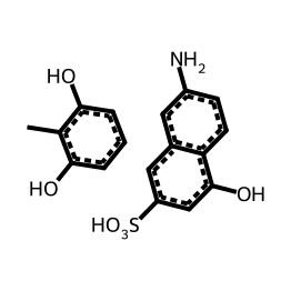 Cc1c(O)cccc1O.Nc1ccc2c(O)cc(S(=O)(=O)O)cc2c1